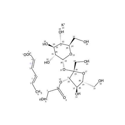 C/C=C/C=C/C(=O)[O-].CCCCCCCCCCCC(=O)O[C@H]1[C@H](O)[C@@H](CO)O[C@@]1(CO)O[C@H]1O[C@H](CO)[C@@H](O)[C@H](O)[C@H]1O.[K+]